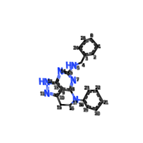 c1ccc(CNc2nc3c4c(n[nH]c4n2)CCN3c2ccccc2)cc1